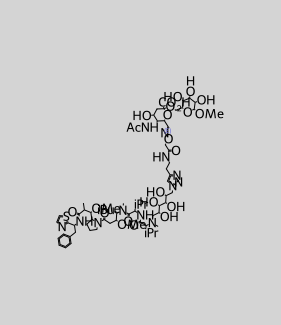 CCC(C)C(C(CC(=O)N1CCCC1C(OC)C(C)C(=O)NC(Cc1ccccc1)c1nccs1)OC)N(C)C(=O)C(NC(=O)C(C(C)C)N(C)CC(O)C(O)C(O)C(O)Cn1cc(CCNC(=O)CO/N=C/C2OC(OCC3OC(OC)C(O)C(O)C3O)(C(=O)O)CC(O)C2NC(C)=O)nn1)C(C)C